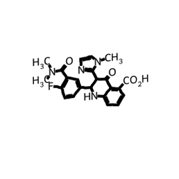 CN(C)C(=O)c1cc(C2Nc3cccc(C(=O)O)c3C(=O)C2c2nccn2C)ccc1F